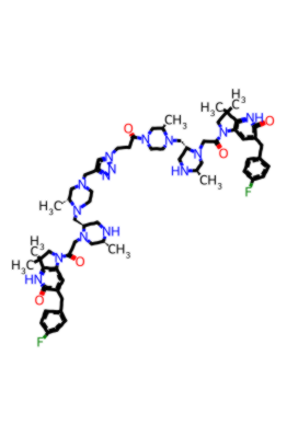 C[C@@H]1CN(CC(=O)N2CC(C)(C)c3[nH]c(=O)c(Cc4ccc(F)cc4)cc32)[C@@H](CN2CCN(Cc3cn(CCC(=O)N4CCN(C[C@H]5CN[C@H](C)CN5CC(=O)N5CC(C)(C)c6[nH]c(=O)c(Cc7ccc(F)cc7)cc65)[C@H](C)C4)nn3)C[C@H]2C)CN1